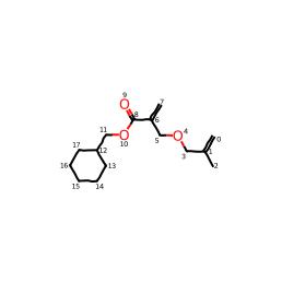 C=C(C)COCC(=C)C(=O)OCC1CCCCC1